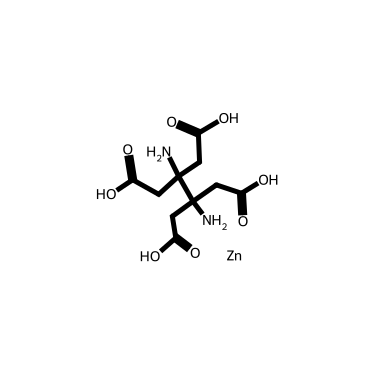 NC(CC(=O)O)(CC(=O)O)C(N)(CC(=O)O)CC(=O)O.[Zn]